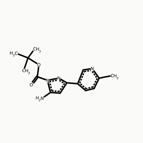 Cc1ccc(-c2cc(N)n(C(=O)OC(C)(C)C)n2)cn1